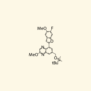 COc1cnc2c(-c3cc4cc(OC)c(F)cc4o3)cc(CO[Si](C)(C)C(C)(C)C)cc2n1